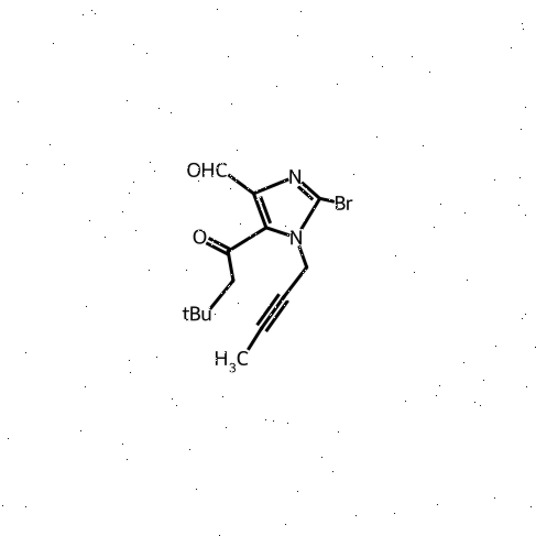 CC#CCn1c(Br)nc(C=O)c1C(=O)CC(C)(C)C